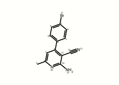 Cc1cc(-c2ccc(Br)cc2)c(C#N)c(N)n1